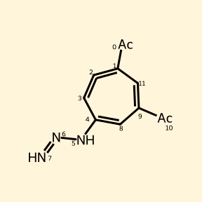 CC(=O)C1=C=CC(NN=N)=CC(C(C)=O)=C1